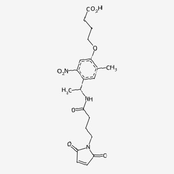 Cc1cc(C(C)NC(=O)CCCN2C(=O)C=CC2=O)c([N+](=O)[O-])cc1OCCCC(=O)O